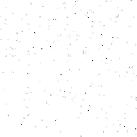 CCCC(CCC)N(C=O)c1ccc2c(c1)OCO2